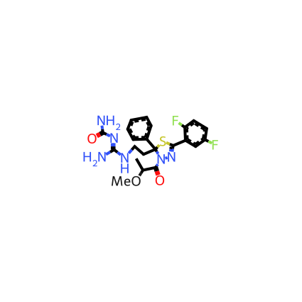 COC(C)C(=O)N1N=C(c2cc(F)ccc2F)SC1(CCNC(N)=NC(N)=O)c1ccccc1